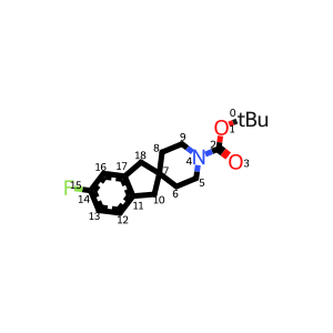 CC(C)(C)OC(=O)N1CCC2(CC1)Cc1ccc(F)cc1C2